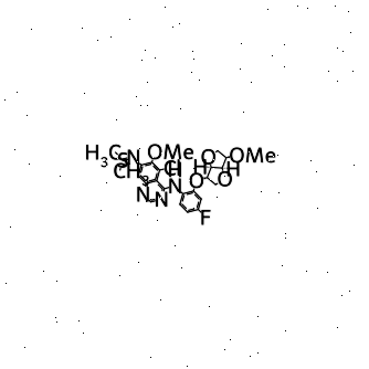 COc1c(N=S(C)C)cc2ncnc(Nc3ccc(F)cc3O[C@@H]3CO[C@H]4[C@@H]3OC[C@H]4OC)c2c1Cl